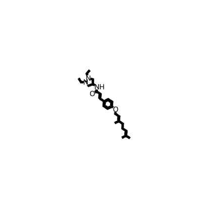 CCN1CC(NC(=O)/C=C/c2ccc(OC/C=C(\C)CCC=C(C)C)cc2)CN1CC